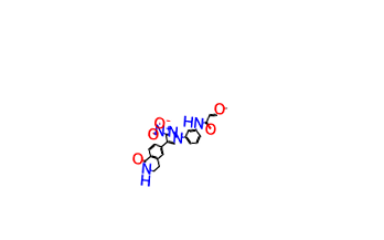 CO/C=C/C(=O)Nc1cccc(-n2cc(-c3ccc4c(c3)CCNC4=O)c([N+](=O)[O-])n2)c1